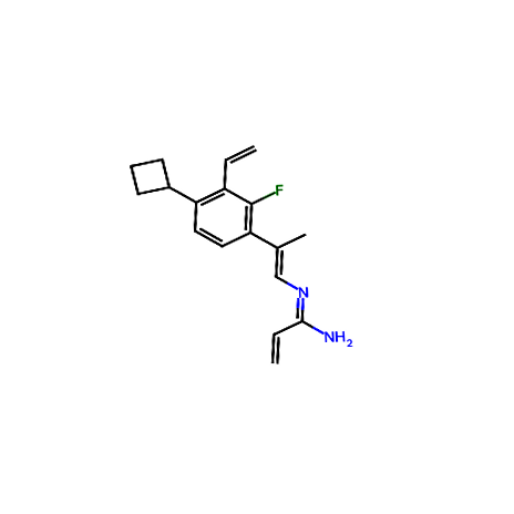 C=C/C(N)=N\C=C(/C)c1ccc(C2CCC2)c(C=C)c1F